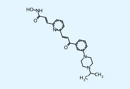 CC(C)N1CCN(c2cccc(C(=O)C=Cc3cccc(C=CC(=O)NO)n3)c2)CC1